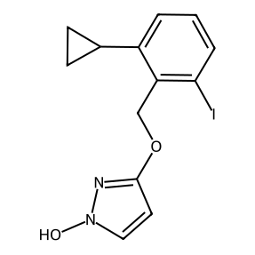 On1ccc(OCc2c(I)cccc2C2CC2)n1